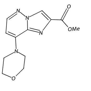 COC(=O)c1cn2nccc(N3CCOCC3)c2n1